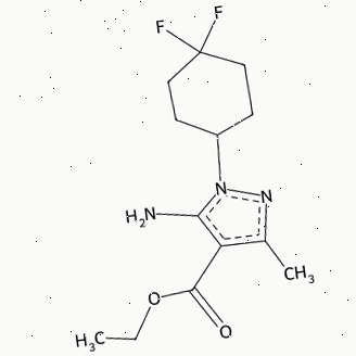 CCOC(=O)c1c(C)nn(C2CCC(F)(F)CC2)c1N